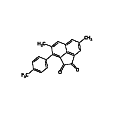 Cc1cc2c3c(c(-c4ccc(C(F)(F)F)cc4)c(C)cc3c1)C(=O)C2=O